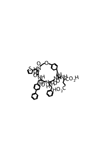 O=C(O)CC[C@H](NC(=O)[C@@H]1CC2C=CC(=CC2)OCC(=O)N[C@H](CC2CC=CS2)C(=O)N[C@@H](Cc2ccc(-c3ccccc3)cc2)C(=O)N[C@H](CCc2ccccc2)C(=O)N1)C(=O)O